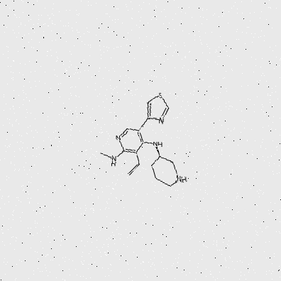 C=Cc1c(NC)ncc(-c2cscn2)c1N[C@@H]1CCCNC1